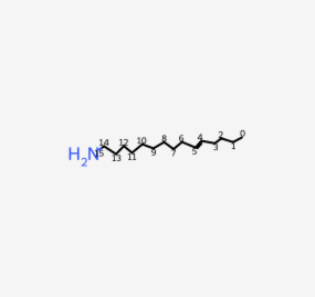 CCCCC=CCCCCCCCCCN